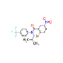 C=C(C)CN(C(=O)c1cc([N+](=O)[O-])ccc1Br)c1ccc(C(F)(F)F)cc1